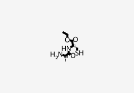 CCOC(=O)[C@H](CS)NC(=O)[C@H](C)N